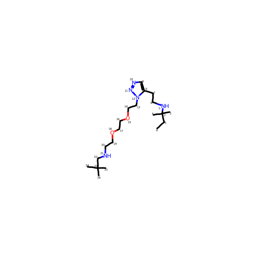 CCC(C)(C)NCCc1cnnn1CCOCCOCCNCC(C)(C)C